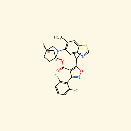 O=C(O)c1cc2scnc2cc1N1C[C@H]2CC[C@]1(OC(=O)c1c(-c3c(Cl)cccc3Cl)noc1C1CC1)C2